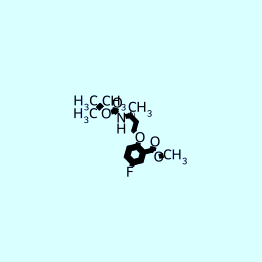 COC(=O)c1cc(F)ccc1OCC[C@@H](C)NC(=O)OC(C)(C)C